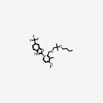 CCCCOC(C)(C)CSCc1c(C)c(OC)cc[n+]1-c1nc2cc(C(F)(F)F)ccc2[nH]1